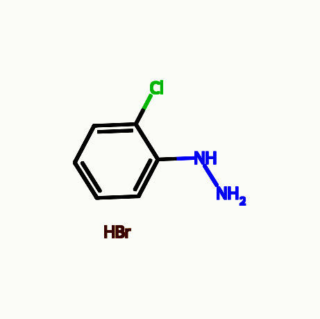 Br.NNc1ccccc1Cl